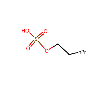 CCC[CH]COS(=O)(=O)O